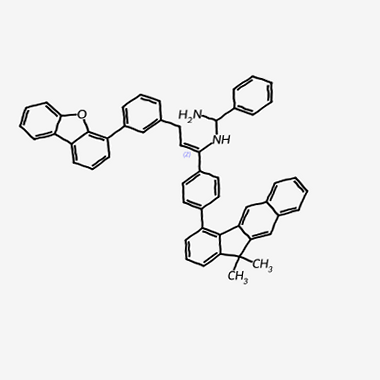 CC1(C)c2cc3ccccc3cc2-c2c(-c3ccc(/C(=C/Cc4cccc(-c5cccc6c5oc5ccccc56)c4)NC(N)c4ccccc4)cc3)cccc21